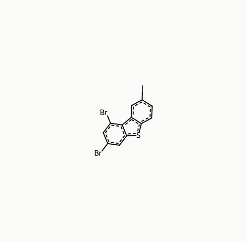 Brc1cc(Br)c2c(c1)sc1ccc(I)cc12